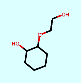 OCCOC1CCCCC1O